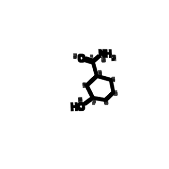 NC(=O)C1CCCC(O)C1